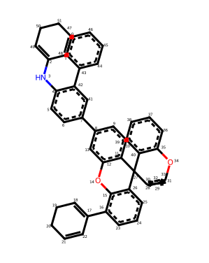 C1=CC(Nc2ccc(-c3ccc4c(c3)Oc3c(C5=CCCC=C5)cccc3C43c4ccccc4Oc4ccccc43)cc2-c2ccccc2)=CCC1